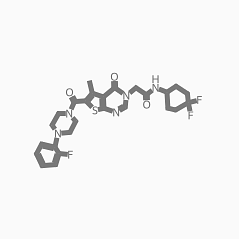 Cc1c(C(=O)N2CCN(c3ccccc3F)CC2)sc2ncn(CC(=O)NC3CCC(F)(F)CC3)c(=O)c12